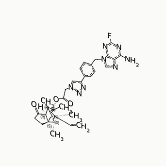 C=C[C@@]1(C)C[C@H](C)[C@]23CCC(=O)[C@H]2[C@@](C)(C(C)CC3)[C@H](OC(=O)Cn2cc(-c3ccc(Cn4cnc5c(N)nc(F)nc54)cc3)nn2)C1